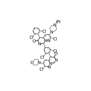 CC(C)N1CCN(c2cc3c(-c4c(Cl)cccc4Cl)c(=O)nc(-c4cc(Cl)c(-c5c(=O)ncn6nc(Cl)c(N7CCOCC7)cc56)c(Cl)c4)n3nc2Cl)CC1